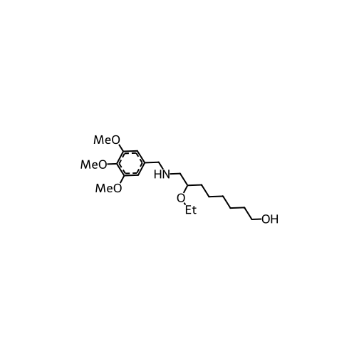 CCOC(CCCCCCO)CNCc1cc(OC)c(OC)c(OC)c1